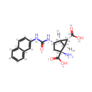 N[C@@]1(C(=O)O)C[C@H](NC(=O)Nc2ccc3ccccc3c2)[C@H]2[C@H](C(=O)O)[C@H]21